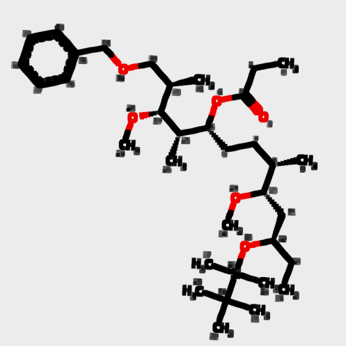 CCC(=O)O[C@H](CC[C@H](C)[C@H](C[C@@H](CC)O[Si](C)(C)C(C)(C)C)OC)[C@H](C)[C@H](OC)[C@H](C)COCc1ccccc1